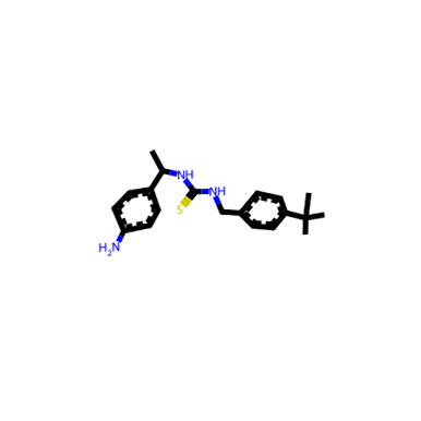 CC(NC(=S)NCc1ccc(C(C)(C)C)cc1)c1ccc(N)cc1